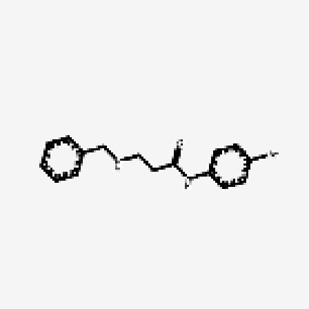 CC(=O)c1ccc(NC(=O)CCNCc2ccccc2)cc1